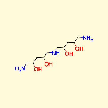 NCC(O)CC(O)CNCC(O)CC(O)CN